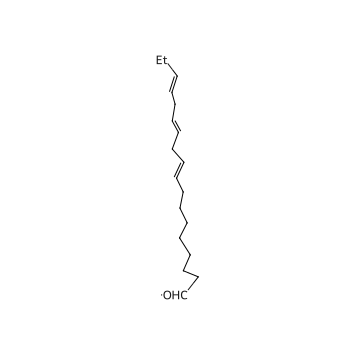 CCC=CCC=CCC=CCCCCCCC[C]=O